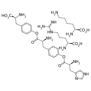 N=C(N)NCCC[C@H](N)C(=O)O.NCCCC[C@H](N)C(=O)O.N[C@@H](Cc1ccc(OC(=O)[C@@H](N)Cc2ccc(OC(=O)[C@@H](N)Cc3c[nH]cn3)cc2)cc1)C(=O)O